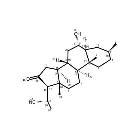 C[C@H]1CC[C@]2(C)[C@H]3CC[C@]4(C)[C@@H]([C@H](C)C#N)C(=O)C[C@H]4[C@@H]3C[C@H](O)[C@@]2(C)C1